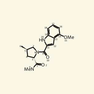 CNC(=O)[C@@H]1C[C@@H](C)CN1C(=O)c1cc2c(OC)cccc2[nH]1